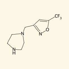 FC(F)(F)c1cc(CN2CCNCC2)no1